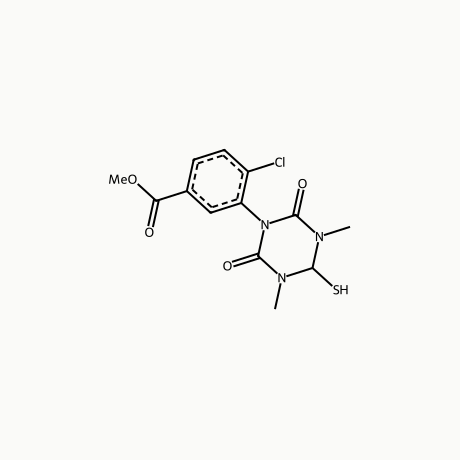 COC(=O)c1ccc(Cl)c(N2C(=O)N(C)C(S)N(C)C2=O)c1